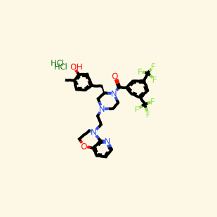 Cc1ccc(C[C@@H]2CN(CCN3CCOc4cccnc43)CCN2C(=O)c2cc(C(F)(F)F)cc(C(F)(F)F)c2)cc1O.Cl.Cl